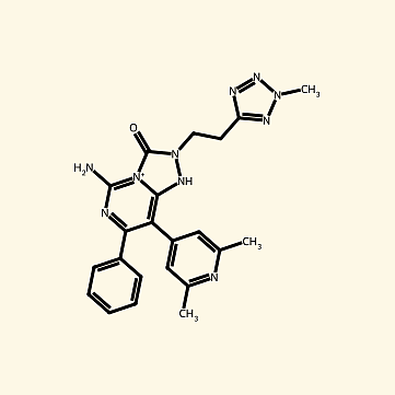 Cc1cc(-c2c(-c3ccccc3)nc(N)[n+]3c(=O)n(CCc4nnn(C)n4)[nH]c23)cc(C)n1